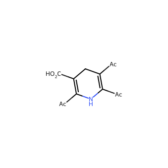 CC(=O)C1=C(C(C)=O)NC(C(C)=O)=C(C(=O)O)C1